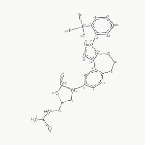 CC(=O)NCC1CN(c2ccc3c(c2)-c2onc(-c4ccccc4C(F)(F)F)c2CCC3)C(=O)O1